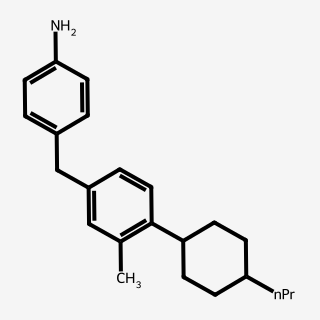 CCCC1CCC(c2ccc(Cc3ccc(N)cc3)cc2C)CC1